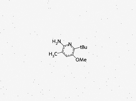 COc1cc(C)c(N)nc1C(C)(C)C